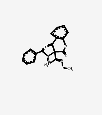 CON=C(C)C1(N(O)C(=O)c2ccccc2)C(=O)Oc2ccccc2C1=O